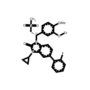 CCOc1cc([C@@H](CS(C)(=O)=O)n2c(=O)n(C3CC3)c3cc(-c4ccccc4F)ccc32)ccc1OC